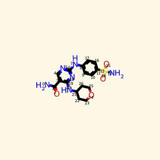 NC(=O)c1cnc(Nc2ccc(S(N)(=O)=O)cc2)nc1NC1CCOCC1